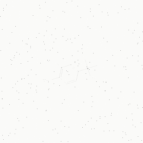 CCOC(=O)C(C)(C)c1ccc(OC)c(OC)c1